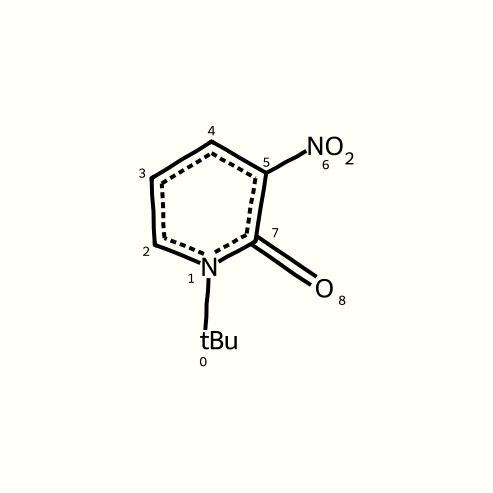 CC(C)(C)n1cccc([N+](=O)[O-])c1=O